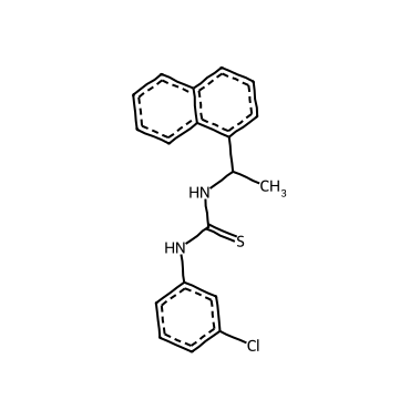 CC(NC(=S)Nc1cccc(Cl)c1)c1cccc2ccccc12